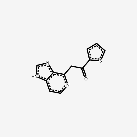 O=C(Cc1nccc2[nH]cnc12)c1cccs1